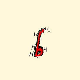 CO[C@H]1C[C@@H]2CC[C@@H](C)[C@@](O)(O2)C(=O)C(=O)N2CCCC[C@H]2C(=O)O[C@H]([C@H](C)C[C@@H]2CC[C@@H](OC(=S)NCCOCCOCCOCCOCCOCCOCCOCCOCCC(=O)NCCS(=O)(=O)c3ccc(C(=O)N4CCOc5ccc(-c6ccc(N)nc6)cc5C4)c(C)c3)[C@H](OC)C2)C[C@@H](OC)[C@H](C)/C=C(\C)[C@@H](O)[C@@H](OC)C(=O)[C@H](C)C[C@H](C)/C=C/C=C/C=C/1C